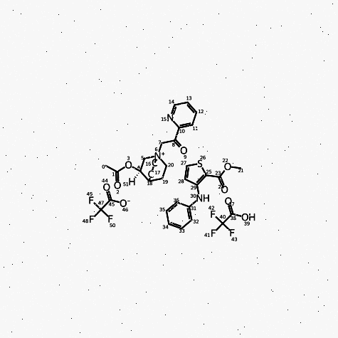 CC(=O)O[C@H]1C[N+]2(CC(=O)c3ccccn3)CCC1CC2.COC(=O)c1sccc1Nc1ccccc1.O=C(O)C(F)(F)F.O=C([O-])C(F)(F)F